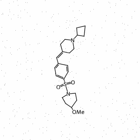 COC1CCN(S(=O)(=O)c2ccc(C=C3CCN(C4CCC4)CC3)cc2)CC1